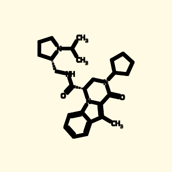 Cc1c2n(c3ccccc13)[C@H](C(=O)NC[C@@H]1CCCN1C(C)C)CN(C1CCCC1)C2=O